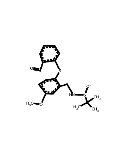 COc1ccc(Sc2ccccc2C=O)c(CN[S+]([O-])C(C)(C)C)c1